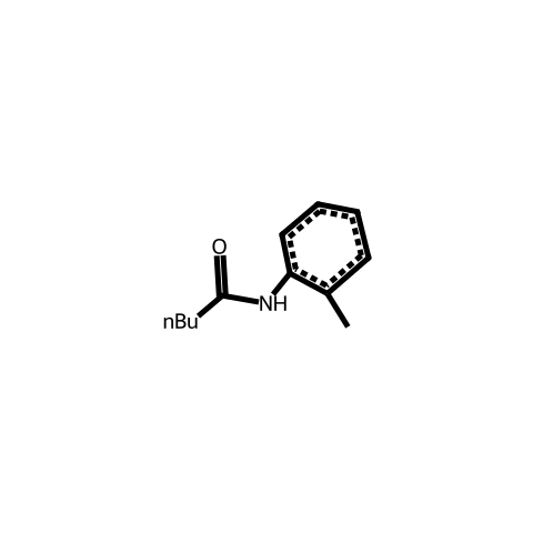 CCCCC(=O)Nc1ccccc1C